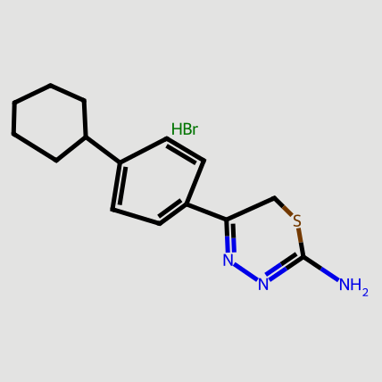 Br.NC1=NN=C(c2ccc(C3CCCCC3)cc2)CS1